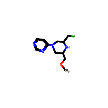 COCC1CN(c2ccncn2)CC(CF)N1